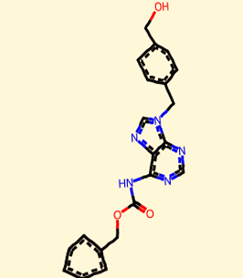 O=C(Nc1ncnc2c1ncn2Cc1ccc(CO)cc1)OCc1ccccc1